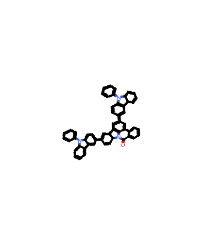 O=c1c2ccccc2c2cc(-c3ccc4c(c3)C3C=CC=CC3N4c3ccccc3)cc3c2n1C1C=CC(c2ccc4c(c2)c2ccccc2n4-c2ccccc2)=CC31